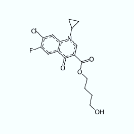 O=C(OCCCCO)c1cn(C2CC2)c2cc(Cl)c(F)cc2c1=O